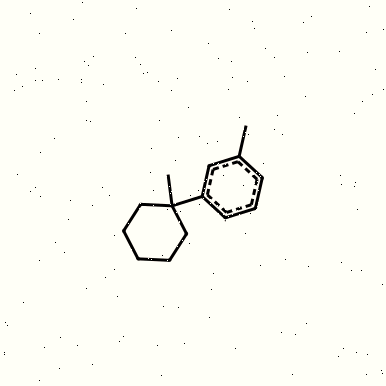 Cc1cc[c]c(C2(C)CCCCC2)c1